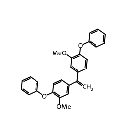 C=C(c1ccc(Oc2ccccc2)c(OC)c1)c1ccc(Oc2ccccc2)c(OC)c1